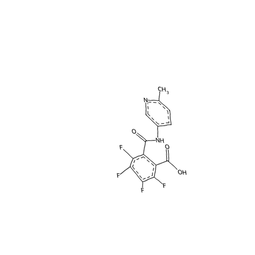 Cc1ccc(NC(=O)c2c(F)c(F)c(F)c(F)c2C(=O)O)cn1